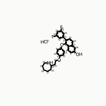 Cl.Oc1ccc2c(Oc3ccc(OCCC4CCCCCN4)cc3)c(-c3cc(F)cc(F)c3)ccc2c1